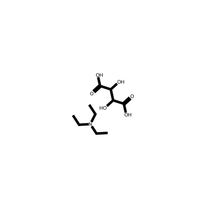 CCN(CC)CC.O=C(O)C(O)C(O)C(=O)O